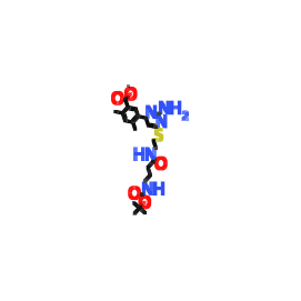 COC(=O)c1cc(-c2cc(SCCNC(=O)CCCNC(=O)OC(C)(C)C)nc(N)n2)c(C)cc1C